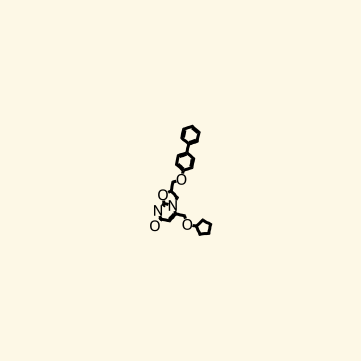 O=c1cc(COC2CCCC2)n2c(n1)OC(COc1ccc(-c3ccccc3)cc1)C2